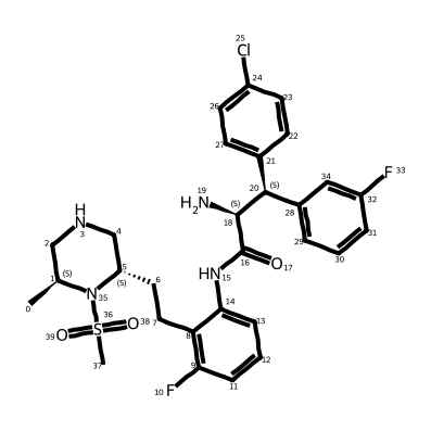 C[C@H]1CNC[C@H](CCc2c(F)cccc2NC(=O)[C@@H](N)[C@@H](c2ccc(Cl)cc2)c2cccc(F)c2)N1S(C)(=O)=O